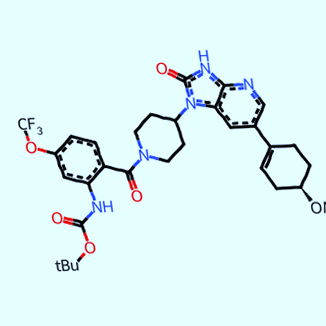 CO[C@H]1CC=C(c2cnc3[nH]c(=O)n(C4CCN(C(=O)c5ccc(OC(F)(F)F)cc5NC(=O)OC(C)(C)C)CC4)c3c2)CC1